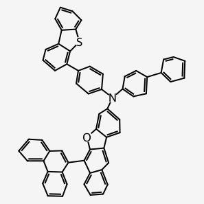 c1ccc(-c2ccc(N(c3ccc(-c4cccc5c4sc4ccccc45)cc3)c3ccc4c(c3)oc3c(-c5cc6ccccc6c6ccccc56)c5ccccc5cc34)cc2)cc1